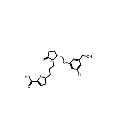 O=C(O)c1ccc(CCC[C@H]2C(=O)CC[C@@H]2COc2cc(Cl)cc(CO)c2)s1